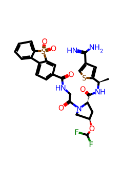 C[C@@H](NC(=O)[C@@H]1C[C@@H](OC(F)F)CN1C(=O)CNC(=O)c1ccc2c(c1)S(=O)(=O)c1ccccc1-2)c1cc(C(=N)N)cs1